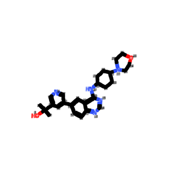 CC(C)(O)c1cncc(-c2ccc3ncnc(NC4CCC(N5CCOCC5)CC4)c3c2)c1